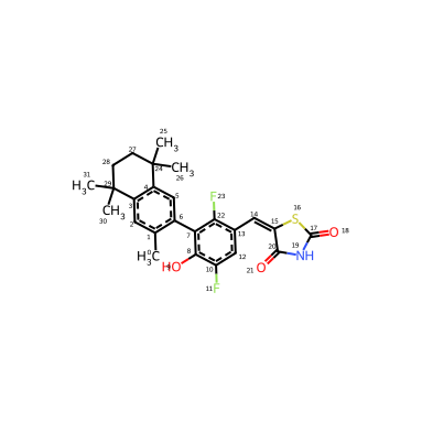 Cc1cc2c(cc1-c1c(O)c(F)cc(C=C3SC(=O)NC3=O)c1F)C(C)(C)CCC2(C)C